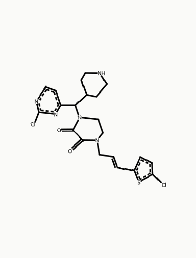 O=C1C(=O)N(C(c2ccnc(Cl)n2)C2CCNCC2)CCN1CC=Cc1ccc(Cl)s1